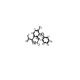 CC(C)C(N)c1ccc(F)c(Oc2ccccc2)c1F